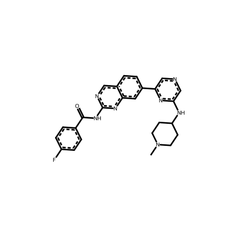 CN1CCC(Nc2cncc(-c3ccc4cnc(NC(=O)c5ccc(F)cc5)nc4c3)n2)CC1